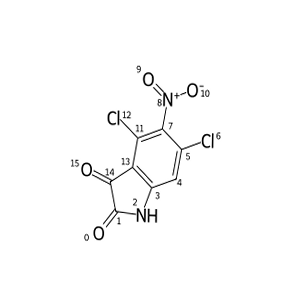 O=C1Nc2cc(Cl)c([N+](=O)[O-])c(Cl)c2C1=O